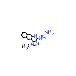 Cn1cnc2c(NCCN)nc3cc4ccccc4cc3c21